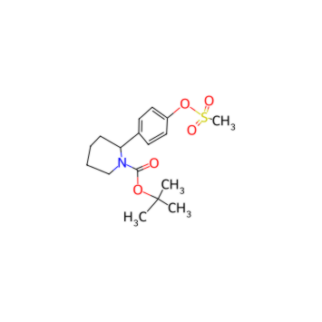 CC(C)(C)OC(=O)N1CCCCC1c1ccc(OS(C)(=O)=O)cc1